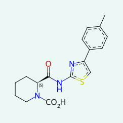 Cc1ccc(-c2csc(NC(=O)[C@@H]3CCCCN3C(=O)O)n2)cc1